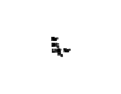 [BH4-].[BH4-].[LiH].[Na+].[Na+]